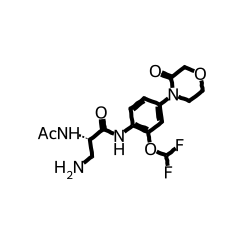 CC(=O)N[C@@H](CN)C(=O)Nc1ccc(N2CCOCC2=O)cc1OC(F)F